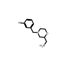 NCC1CN(Cc2cccc(F)c2)CCO1